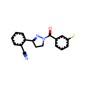 N#Cc1ccccc1C1=NN(C(=O)c2cccc(F)c2)CC1